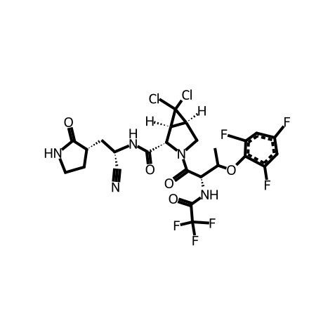 CC(Oc1c(F)cc(F)cc1F)[C@H](NC(=O)C(F)(F)F)C(=O)N1C[C@H]2[C@@H]([C@H]1C(=O)N[C@H](C#N)C[C@@H]1CCNC1=O)C2(Cl)Cl